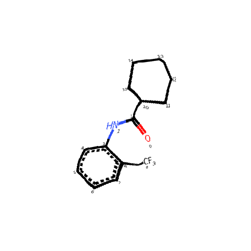 O=C(Nc1ccccc1C(F)(F)F)C1CCCCC1